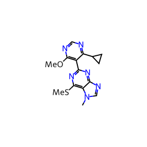 COc1ncnc(C2CC2)c1-c1nc(SC)c2c(ncn2C)n1